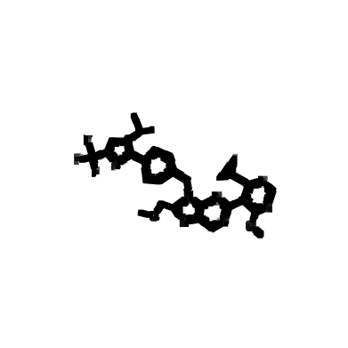 COCc1nc2cnc(-c3c(OC)ncnc3C3CC3)nc2n1Cc1ccc(-c2nc(C(F)(F)F)cn2C(C)C)cc1